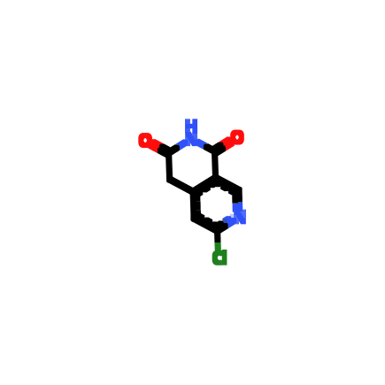 O=C1Cc2cc(Cl)ncc2C(=O)N1